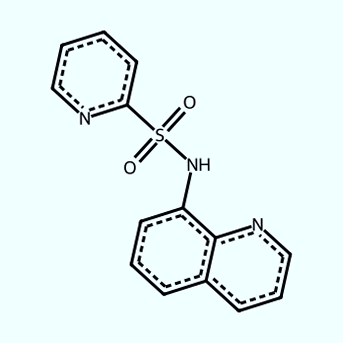 O=S(=O)(Nc1cccc2cccnc12)c1ccccn1